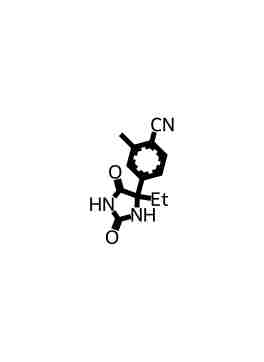 CCC1(c2ccc(C#N)c(C)c2)NC(=O)NC1=O